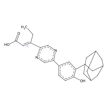 CC/C(=C\C(=O)O)c1cnc(-c2ccc(O)c(C34CC5CC(CC(C5)C3)C4)c2)cn1